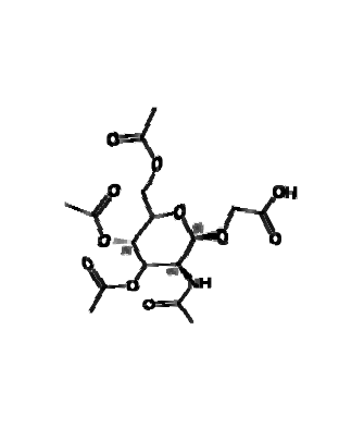 CC(=O)N[C@H]1C(OC(C)=O)[C@H](OC(C)=O)C(COC(C)=O)O[C@H]1OCC(=O)O